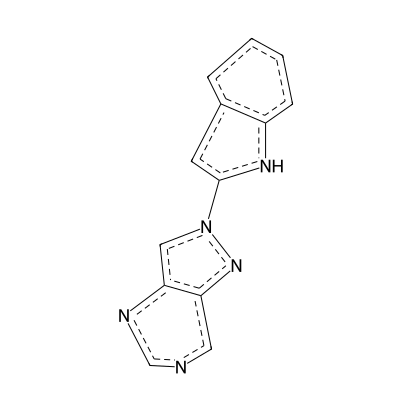 c1ccc2[nH]c(-n3cc4ncncc4n3)cc2c1